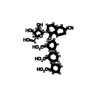 N#Cc1ccc2c(=O)n([C@@H]3O[C@H](CO)[C@@H](O)[C@H]3O)ccc2c1.O=C(O)c1ccccc1.O=C(O)c1ccccc1.O=C(O)c1ccccc1